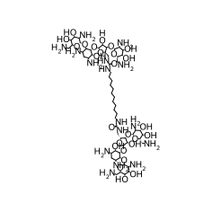 NCC1O[C@H](OC2C(N)C[C@@H](N)C(O)[C@H]2O[C@@H]2O[C@H](CNC(=O)NCCCCCCCCCCCCNC(=O)NC[C@H]3O[C@@H](OC4C(O[C@@H]5OC(CN)C(O)[C@H](O)C5N)C(N)C[C@H](N)[C@@H]4O)C(O)C3O[C@@H]3O[C@H](CN)C(O)C(O)C3N)[C@H](O[C@H]3O[C@@H](CN)C(O)C(O)C3N)C2O)C(N)[C@@H](O)C1O